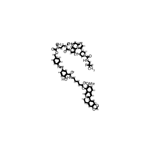 CC[C@@H]1CN(C(=O)NCC(C)(F)F)C[C@@H]1c1cnc2cnc3c(ccn3C(=O)N(C)CCN(C)C(=O)OCc3ccc(/N=N/c4ccc(O)c(C(=O)NCCCCC(=O)Oc5c(OC)ccc6cc7[n+](cc56)CCc5cc6c(cc5-7)OCO6)c4)cc3)n12